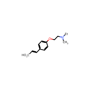 CCN(C)CCOc1ccc(C=CC(=O)O)cc1